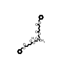 C[N+](C)(CCOC(=O)CCCC(=O)OCc1ccccc1)CCOC(=O)CCCC(=O)OCc1ccccc1